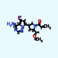 C=CC(=O)N1CC(c2cc(I)c3c(N)ncnn23)C[C@@H]1COC